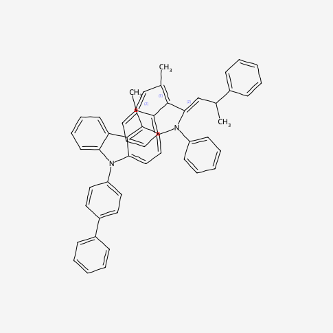 CC1=C(c2ccccc2C)\C(=C\C(C)c2ccccc2)N(c2ccccc2)c2ccc3c(c2/C=C\1)c1ccccc1n3-c1ccc(-c2ccccc2)cc1